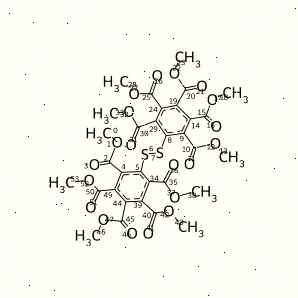 COC(=O)c1c(SSc2c(C(=O)OC)c(C(=O)OC)c(C(=O)OC)c(C(=O)OC)c2C(=O)OC)c(C(=O)OC)c(C(=O)OC)c(C(=O)OC)c1C(=O)OC